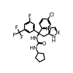 O=C(NC1CCCC1)N[C@](Cc1ncn[nH]1)(c1cc(F)cc(C(F)(F)F)c1)c1ccc(Cl)cn1